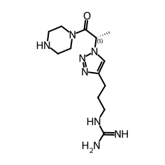 C[C@@H](C(=O)N1CCNCC1)n1cc(CCCNC(=N)N)nn1